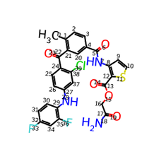 Cc1ccc(C(=O)Nc2ccsc2C(=O)OCC(N)=O)cc1C(=O)c1ccc(Nc2ccc(F)cc2F)cc1Cl